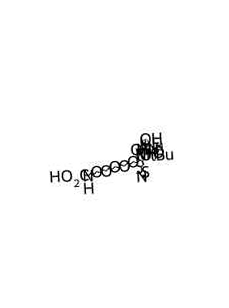 Cc1ncsc1-c1ccc(CNC(=O)[C@@H]2C[C@@H](O)CN2C(=O)[C@@H](NC(=O)C2(F)CC2)C(C)(C)C)c(OCCOCCOCCOCCOCCNC(=O)O)c1